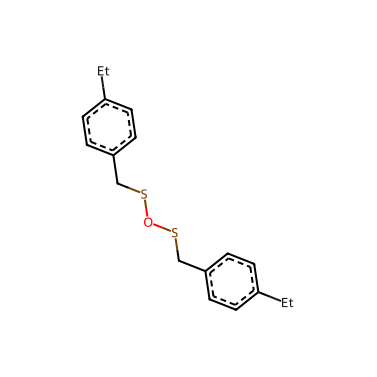 CCc1ccc(CSOSCc2ccc(CC)cc2)cc1